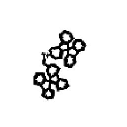 C/C=C1\C(=C/CC(C)N(C)Cc2ccc3c(c2)C2(c4ccccc4-c4ccccc42)c2ccccc2-3)C2(c3ccccc31)c1ccccc1-c1ccccc12